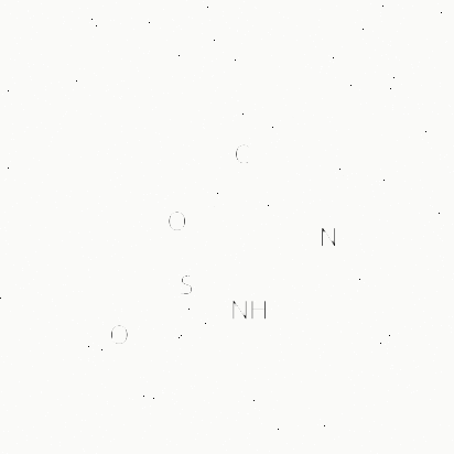 N=S(=O)=O.c1ccncc1